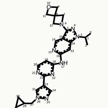 CC(C)n1nc(N2CC3(COC3)C2)c2cnc(Nc3ccnc(-c4cnn(CC5CC5)c4)n3)cc21